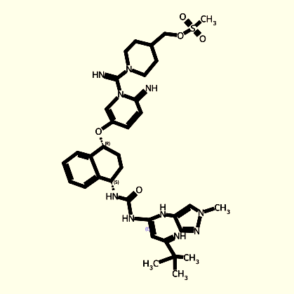 Cn1cc(N/C(=C\C(=N)C(C)(C)C)NC(=O)N[C@H]2CC[C@@H](Oc3ccc(=N)n(C(=N)N4CCC(COS(C)(=O)=O)CC4)c3)c3ccccc32)cn1